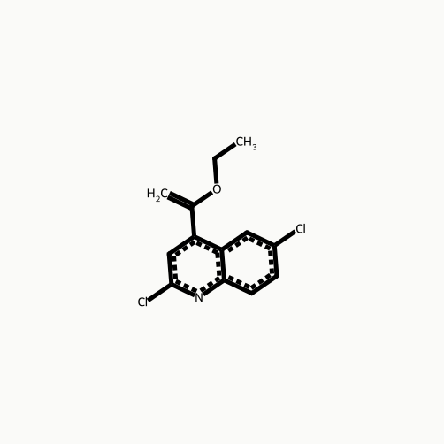 C=C(OCC)c1cc(Cl)nc2ccc(Cl)cc12